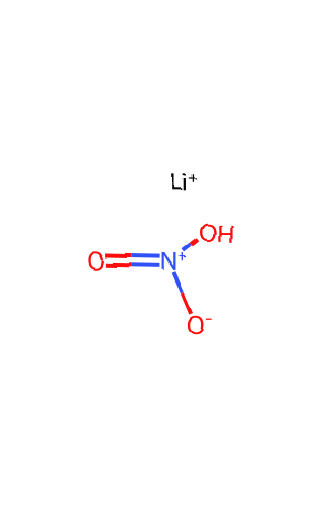 O=[N+]([O-])O.[Li+]